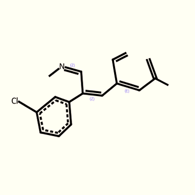 C=CC(/C=C(\C=N/C)c1cccc(Cl)c1)=C\C(=C)C